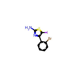 Nc1nc(-c2ccccc2Br)c(I)s1